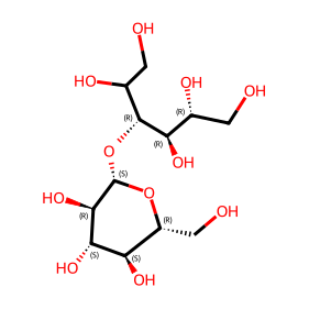 OCC(O)[C@@H](O[C@@H]1O[C@H](CO)[C@@H](O)[C@H](O)[C@H]1O)[C@H](O)[C@H](O)CO